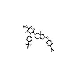 CN(C(=O)O)[C@@H](C(=O)N1CCN2C[C@H](Oc3cnc(C4CC4)cn3)C[C@H]2C1)c1ccc(C(F)(F)F)cc1